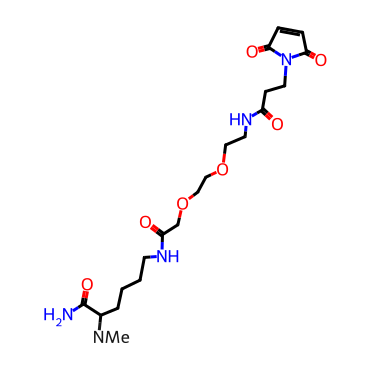 CNC(CCCCNC(=O)COCCOCCNC(=O)CCN1C(=O)C=CC1=O)C(N)=O